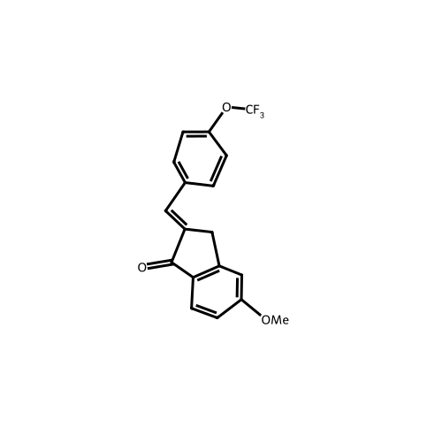 COc1ccc2c(c1)CC(=Cc1ccc(OC(F)(F)F)cc1)C2=O